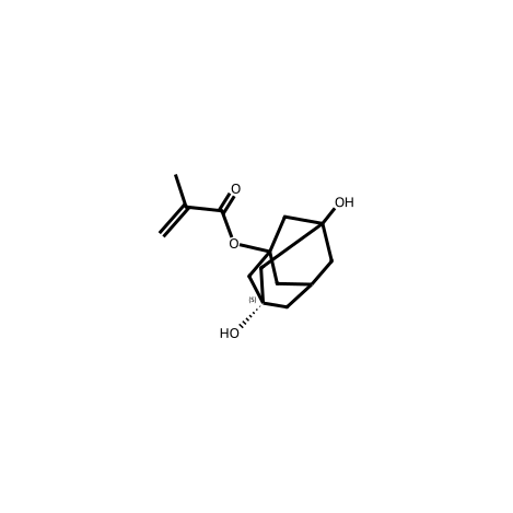 C=C(C)C(=O)OC12CC3CC(O)(C1)C[C@@](O)(C3)C2